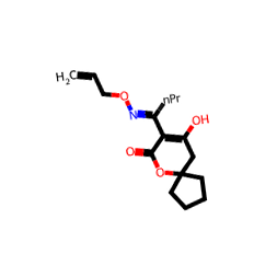 C=CCON=C(CCC)C1=C(O)CC2(CCCC2)OC1=O